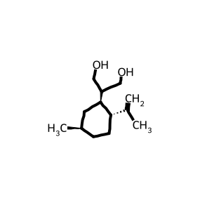 C=C(C)[C@@H]1CC[C@@H](C)C[C@H]1C(CO)CO